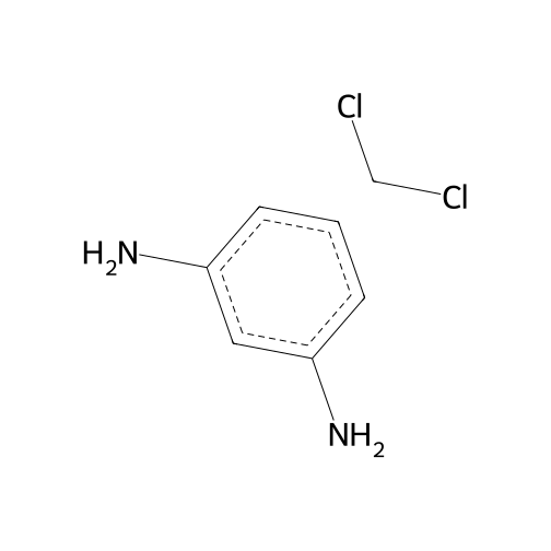 ClCCl.Nc1cccc(N)c1